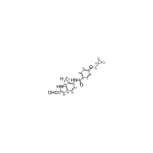 Cc1c(NC(=O)c2ccc(OCC3CC3)cc2)ccc2cc(C=O)[nH]c12